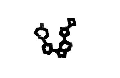 c1cc(N2CCCNCC2)nc(-n2ncc3cnc(-c4cnn(C5CCC5)c4)cc32)c1